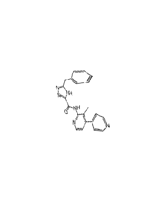 Cc1c(-c2ccncc2)ccnc1NC(=O)c1nnc(Cc2ccccc2)[nH]1